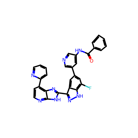 O=C(Nc1cncc(-c2cc(F)c3[nH]nc(-c4nc5c(-c6ccccn6)ccnc5[nH]4)c3c2)c1)c1ccccc1